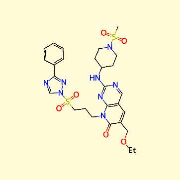 CCOCc1cc2cnc(NC3CCN(S(C)(=O)=O)CC3)nc2n(CCCS(=O)(=O)n2cnc(-c3ccccc3)n2)c1=O